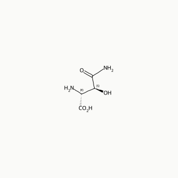 NC(=O)[C@@H](O)[C@@H](N)C(=O)O